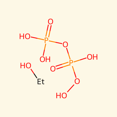 CCO.O=P(O)(O)OP(=O)(O)OO